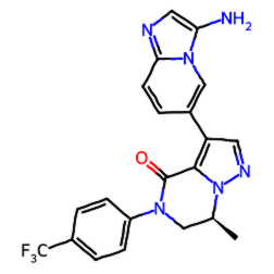 C[C@H]1CN(c2ccc(C(F)(F)F)cc2)C(=O)c2c(-c3ccc4ncc(N)n4c3)cnn21